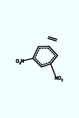 C=C.O=[N+]([O-])c1cccc([N+](=O)[O-])c1